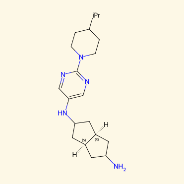 CC(C)C1CCN(c2ncc(NC3C[C@H]4CC(N)C[C@H]4C3)cn2)CC1